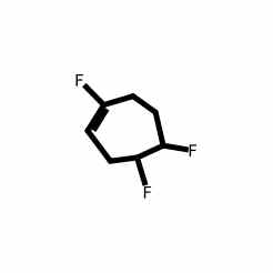 FC1=CCC(F)C(F)CC1